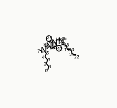 CCCCCCN(C)CN1CC(=O)N(CN(C)CCCCCC)C1=O